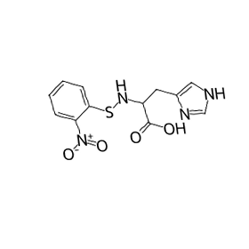 O=C(O)C(Cc1c[nH]cn1)NSc1ccccc1[N+](=O)[O-]